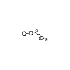 O=C(/C=C/c1cc(Br)cs1)c1ccc(-c2ccccc2)cc1